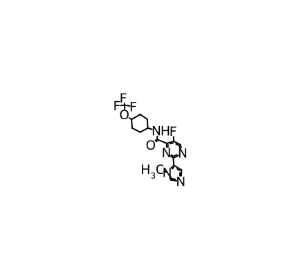 Cn1cncc1-c1ncc(F)c(C(=O)NC2CCC(OC(F)(F)F)CC2)n1